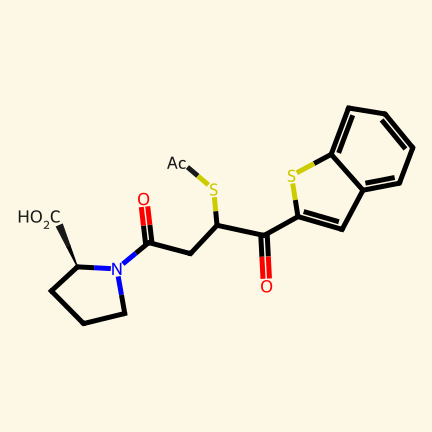 CC(=O)SC(CC(=O)N1CCC[C@H]1C(=O)O)C(=O)c1cc2ccccc2s1